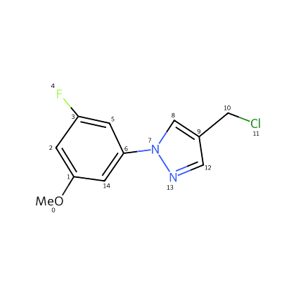 COc1cc(F)cc(-n2cc(CCl)cn2)c1